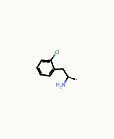 [CH2][C@@H](N)Cc1ccccc1Cl